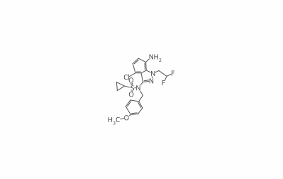 COc1ccc(CN(c2nn(CC(F)F)c3c(N)ccc(Cl)c23)S(=O)(=O)C2CC2)cc1